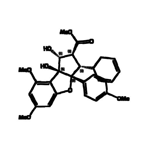 COC(=O)[C@@H]1[C@@H](O)[C@@]2(O)c3c(OC)cc(OC)cc3O[C@@]2(c2ccc(OC)cc2)[C@H]1C1C=CC=CC1